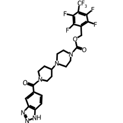 O=C(OCc1c(F)c(F)c(C(F)(F)F)c(F)c1F)N1CCN(C2CCN(C(=O)c3ccc4[nH]nnc4c3)CC2)CC1